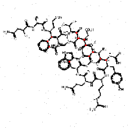 CC[C@H](C)[C@H](NC(=O)[C@H](Cc1c[nH]c2ccccc12)NC(=O)[C@H](CC(=O)O)NC(=O)[C@@H](NC(=O)[C@H](Cc1ccccc1)NC(=O)[C@@H](NC(=O)[C@H](CCSC)NC(=O)[C@@H](NC(=O)[C@@H](N)CC(N)=O)C(C)C)C(C)C)[C@@H](C)O)C(=O)N[C@@H](Cc1ccc(O)cc1)C(=O)N[C@@H](CCCNC(=N)N)C(=O)N[C@@H](CCC(N)=O)C(=O)N[C@@H](CCSC)C(=O)N[C@@H](CCCNC(=N)N)C(=O)N[C@@H](C)C(=O)N[C@@H](CC(=O)O)C(=O)NCC(=O)O